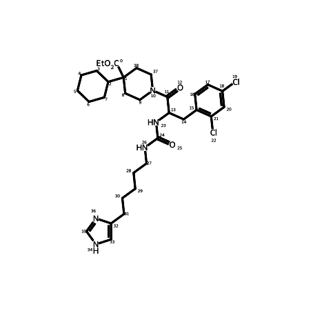 CCOC(=O)C1(C2CCCCC2)CCN(C(=O)C(Cc2ccc(Cl)cc2Cl)NC(=O)NCCCCCc2c[nH]cn2)CC1